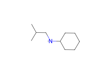 CC(C)C[N]C1CCCCC1